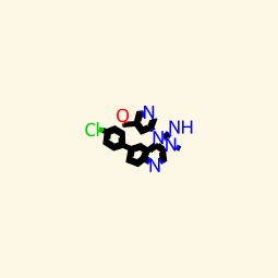 Cn1c(=N)n(-c2cncc(C=O)c2)c2c3cc(-c4ccc(Cl)cc4)ccc3ncc21